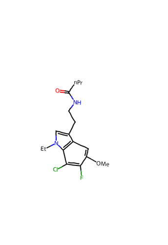 CCCC(=O)NCCc1cn(CC)c2c(Cl)c(F)c(OC)cc12